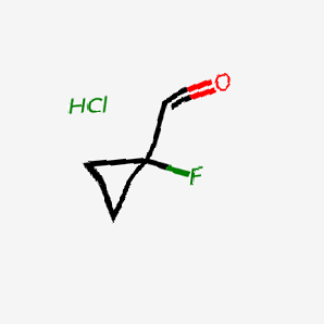 Cl.O=CC1(F)CC1